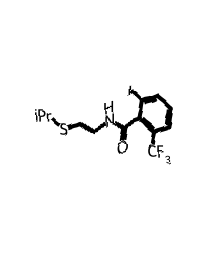 CC(C)SCCNC(=O)c1c(I)cccc1C(F)(F)F